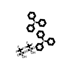 O=S(=O)(O)C(F)(F)F.O=S(=O)(O)C(F)(F)F.c1ccc(P(c2ccccc2)c2ccccc2)cc1.c1ccc(P(c2ccccc2)c2ccccc2)cc1